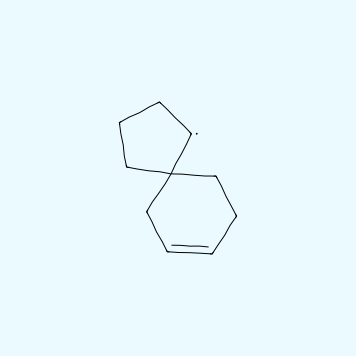 [CH]1CCCC12CC=CCC2